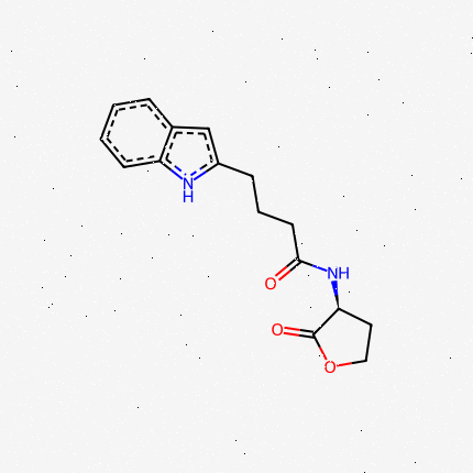 O=C(CCCc1cc2ccccc2[nH]1)N[C@H]1CCOC1=O